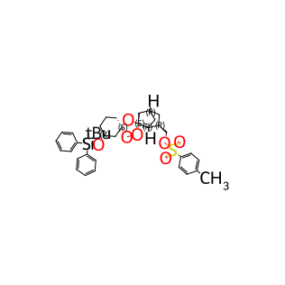 Cc1ccc(S(=O)(=O)OC[C@@H]2C[C@@H]3C[C@H]2[C@]2(C3)OO[C@]3(CCC[C@@H](O[Si](c4ccccc4)(c4ccccc4)C(C)(C)C)C3)O2)cc1